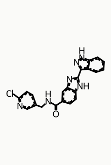 O=C(NCc1ccc(Cl)nc1)c1ccc2[nH]c(-c3n[nH]c4ccccc34)nc2c1